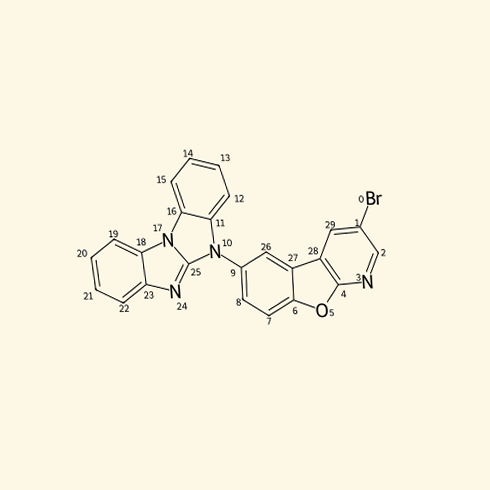 Brc1cnc2oc3ccc(-n4c5ccccc5n5c6ccccc6nc45)cc3c2c1